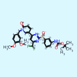 COc1ccc(Cn2cc(-c3cc(C(F)F)nc([S+]([O-])c4cccc(NC(=O)OC(C)(C)C)c4)n3)ccc2=O)cc1OC